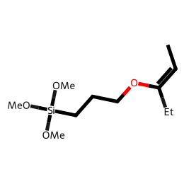 C/C=C(/CC)OCCC[Si](OC)(OC)OC